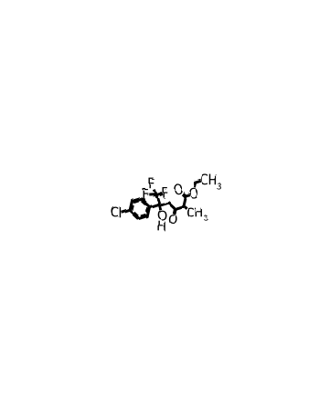 CCOC(=O)C(C)C(=O)CC(O)(c1ccc(Cl)cc1)C(F)(F)F